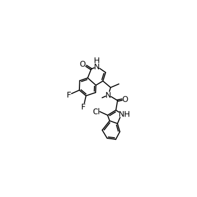 CC(c1c[nH]c(=O)c2cc(F)c(F)cc12)N(C)C(=O)c1[nH]c2ccccc2c1Cl